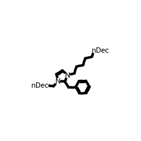 CCCCCCCCCCCCCCCN1C=CN(CCCCCCCCCCC)C1Cc1ccccc1